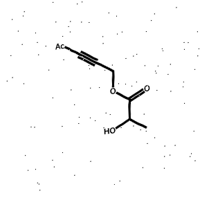 CC(=O)C#CCOC(=O)C(C)O